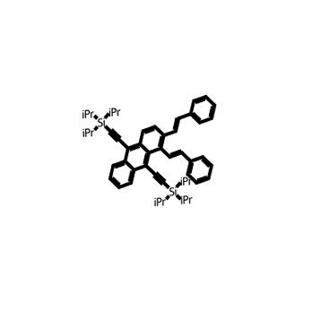 CC(C)[Si](C#Cc1c2ccccc2c(C#C[Si](C(C)C)(C(C)C)C(C)C)c2c(C=Cc3ccccc3)c(C=Cc3ccccc3)ccc12)(C(C)C)C(C)C